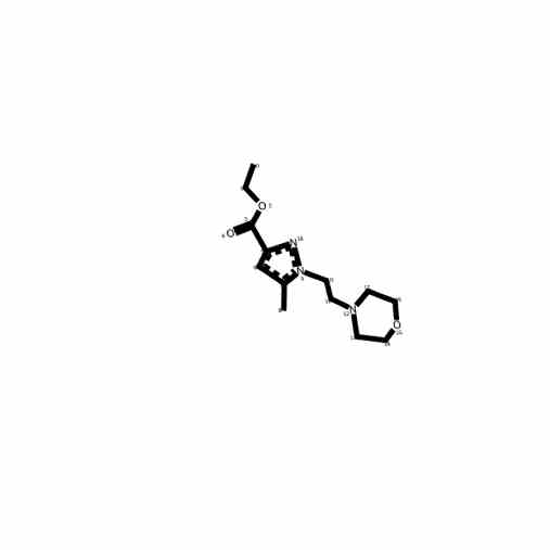 CCOC(=O)c1cc(C)n(CCN2CCOCC2)n1